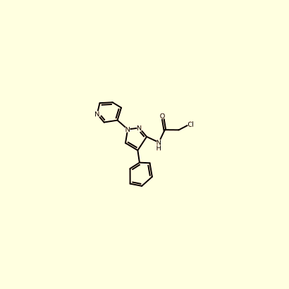 O=C(CCl)Nc1nn(-c2cccnc2)cc1-c1ccccc1